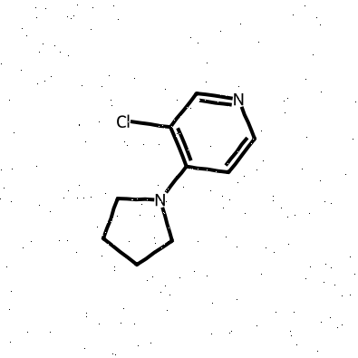 Clc1cnccc1N1CCCC1